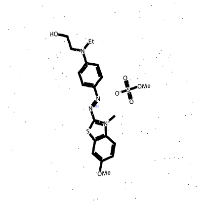 CCN(CCO)c1ccc(/N=N/c2sc3cc(OC)ccc3[n+]2C)cc1.COS(=O)(=O)[O-]